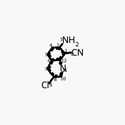 N#Cc1c(N)ccc2cc(Cl)cnc12